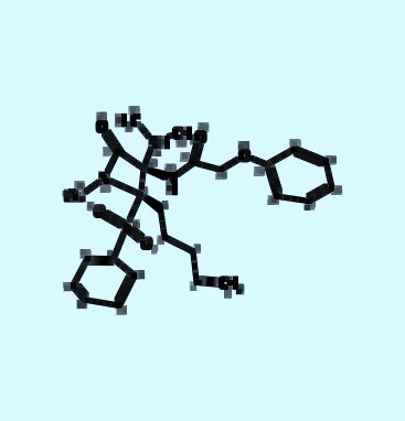 C=CCCC[C@@]1(S(=O)(=O)c2ccccc2)N(C(C)(C)C)C(=O)[C@]1(NC(=O)COc1ccccc1)[SiH](C)C